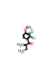 C=C(CC)C(=O)c1ccc(OC)c(Cl)c1Cl